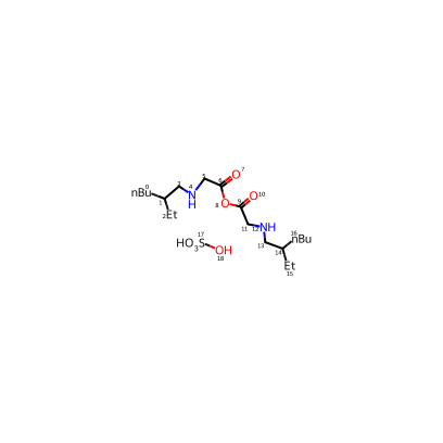 CCCCC(CC)CNCC(=O)OC(=O)CNCC(CC)CCCC.O=S(=O)(O)O